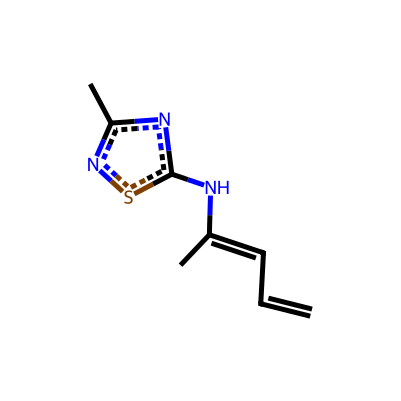 C=C/C=C(\C)Nc1nc(C)ns1